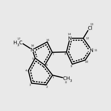 Cc1cccc2c1c(-c1ccnc(Cl)n1)cn2C